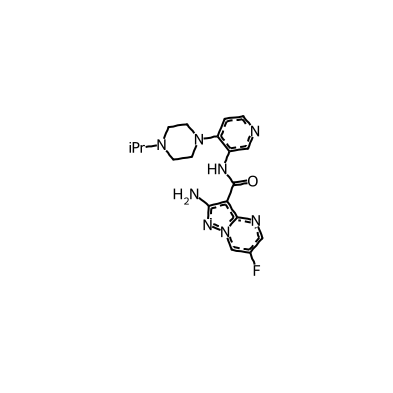 CC(C)N1CCN(c2ccncc2NC(=O)c2c(N)nn3cc(F)cnc23)CC1